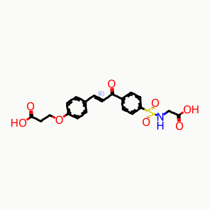 O=C(O)CCOc1ccc(/C=C/C(=O)c2ccc(S(=O)(=O)NCC(=O)O)cc2)cc1